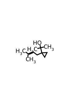 CC(C)=CCC1(C(C)(C)O)CC1